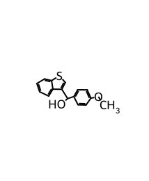 COc1ccc(C(O)c2csc3ccccc23)cc1